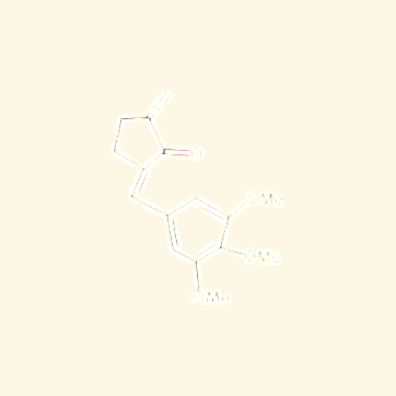 C=C1CCC(=Cc2cc(OC)c(OC)c(OC)c2)C1=O